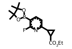 CCOC(=O)C1CC1c1ccc(B2OC(C)(C)C(C)(C)O2)c(F)n1